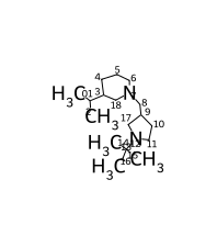 CC(C)C1CCCN(CC2CCN(C(C)(C)C)C2)C1